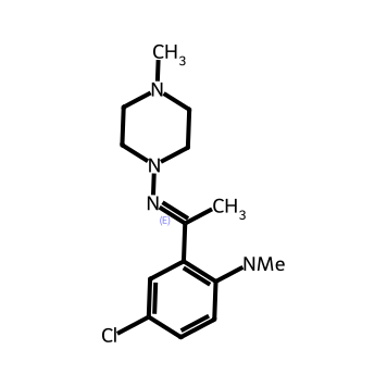 CNc1ccc(Cl)cc1/C(C)=N/N1CCN(C)CC1